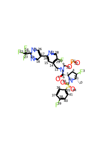 C[C@H]1[C@H](F)C[C@@H](C(=O)N(COP=O)Cc2cc(-c3cnc(C(F)(F)F)nc3)ncc2F)N1S(=O)(=O)c1ccc(F)cc1